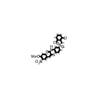 COc1ccc(C=C2Sc3ccc(S(=O)(=O)Cc4c(Cl)cccc4Cl)cc3NC2=O)cc1[N+](=O)[O-]